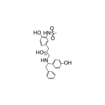 CS(=O)(=O)Nc1cc(C[C@H](O)CNC(Cc2ccccc2)c2ccc(O)cc2)ccc1O